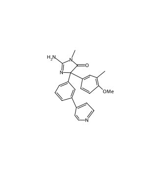 COc1ccc(C2(c3cccc(-c4ccncc4)c3)N=C(N)N(C)C2=O)cc1C